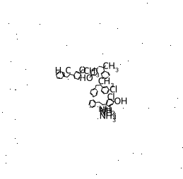 CC(Cc1ccc(O)cc1)c1ccccc1.CC(Cc1ccccc1)c1ccc(Cl)c(Cl)c1.COc1cccc(C(C)Cc2ccccc2)c1.N.N.N.NC(Cc1ccccc1)c1ccc(O)cc1